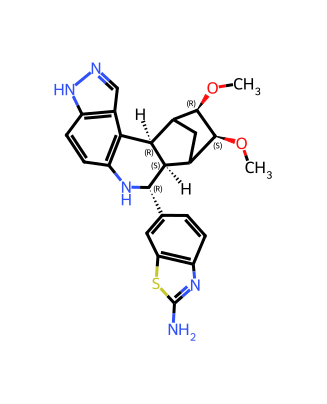 CO[C@@H]1C2CC([C@H]3[C@H](c4ccc5nc(N)sc5c4)Nc4ccc5[nH]ncc5c4[C@@H]23)[C@@H]1OC